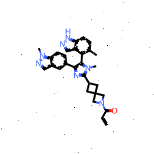 C=CC(=O)N1CC2(CC(c3nc(-c4ccc5c(cnn5C)c4)c(-c4c(C)ccc5[nH]ncc45)n3C)C2)C1